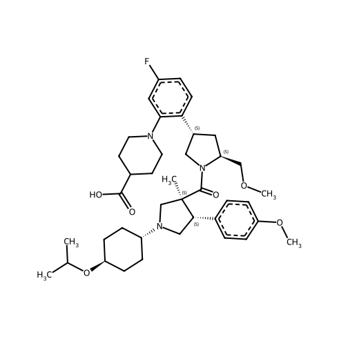 COC[C@@H]1C[C@@H](c2ccc(F)cc2N2CCC(C(=O)O)CC2)CN1C(=O)[C@]1(C)CN([C@H]2CC[C@H](OC(C)C)CC2)C[C@H]1c1ccc(OC)cc1